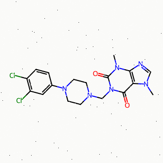 Cn1cnc2c1c(=O)n(CN1CCN(c3ccc(Cl)c(Cl)c3)CC1)c(=O)n2C